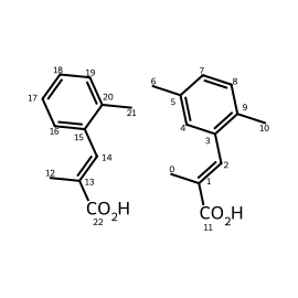 CC(=Cc1cc(C)ccc1C)C(=O)O.CC(=Cc1ccccc1C)C(=O)O